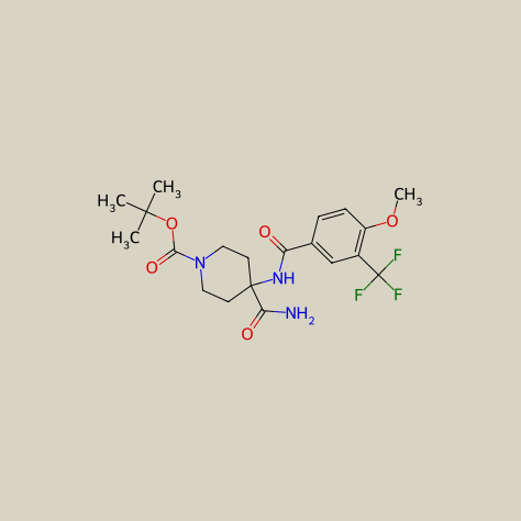 COc1ccc(C(=O)NC2(C(N)=O)CCN(C(=O)OC(C)(C)C)CC2)cc1C(F)(F)F